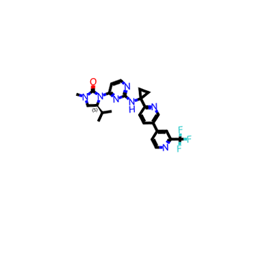 CC(C)[C@H]1CN(C)C(=O)N1c1ccnc(NC2(c3ccc(-c4ccnc(C(F)(F)F)c4)cn3)CC2)n1